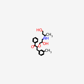 Cc1cccc(CC(OCC(O)CNC(C)CCO)C(=O)c2ccccc2)c1